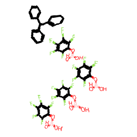 OB(O)Oc1c(F)c(F)c(F)c(F)c1F.OB(O)Oc1c(F)c(F)c(F)c(F)c1F.OB(O)Oc1c(F)c(F)c(F)c(F)c1F.OB(O)Oc1c(F)c(F)c(F)c(F)c1F.c1ccc(C(c2ccccc2)c2ccccc2)cc1